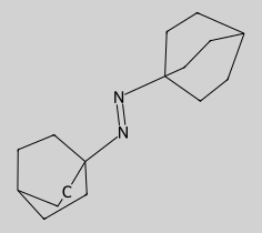 C1CC2(N=NC34CCC(CC3)CC4)CCC1CC2